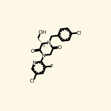 O=C1[C@H](CO)N(Cc2ccc(Cl)cc2)C(=O)CN1c1ncc(Cl)cc1F